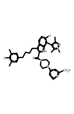 Cc1cc(CCCCc2c(C(=O)N3CCN(c4ccnc(C(=O)O)c4)CC3)[nH]c3c(-c4c(C)nn(C)c4C)c(Cl)ccc23)cc(C)c1Cl